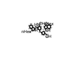 CCCCCCc1ccc(Nc2cc(Cc3ccc(NC=O)c(Nc4ccc(CCCCCC)c5ccccc45)c3)ccc2CO)c2ccccc12